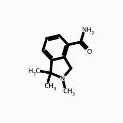 CN1Cc2c(C(N)=O)cccc2C1(C)C